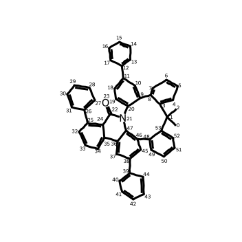 CC1(C)c2ccccc2-c2cc(-c3ccccc3)ccc2-n2c(=O)c3c(-c4ccccc4)cccc3c3cc(-c4ccccc4)cc(c32)-c2ccccc21